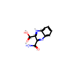 NC(=O)c1nc2ccccc2nc1C(=O)O